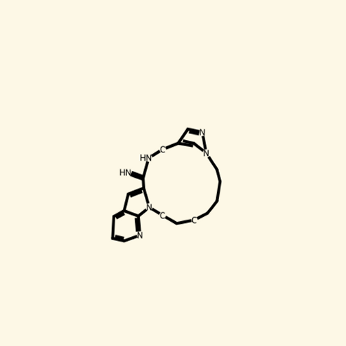 N=C1NCc2cnn(c2)CCCCCCCn2c1cc1cccnc12